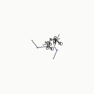 CCCCCCCC/C=C\CCCCCCCC(=O)N(CCN1CCCCCC1)C(C(=O)NCCN(C)CCNC(=O)C(C(CC)CCCC)N(CCN1CCCCCC1)C(=O)CCCCCCC/C=C\CCCCCCCC)C(CC)CCCC